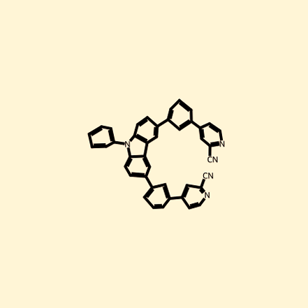 N#Cc1cc(-c2cccc(-c3ccc4c(c3)c3cc(-c5cccc(-c6ccnc(C#N)c6)c5)ccc3n4-c3ccccc3)c2)ccn1